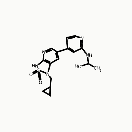 CC(O)Nc1cc(-c2cnc3c(c2)N(CC2CC2)S(=O)(=O)N3)ccn1